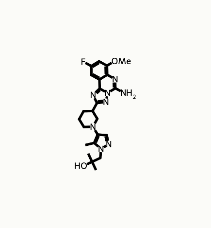 COc1cc(F)cc2c1nc(N)n1nc(C3CCCN(c4cnn(CC(C)(C)O)c4C)C3)nc21